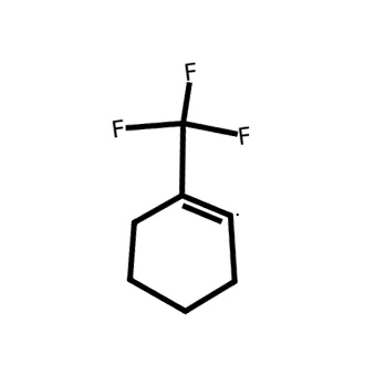 FC(F)(F)C1=[C]CCCC1